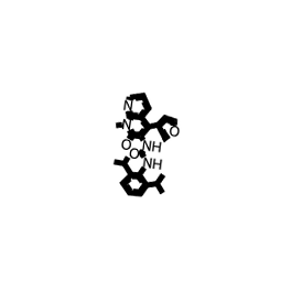 CC(C)c1cccc(C(C)C)c1NC(=O)Nc1c(-c2ccoc2)c2cccnc2n(C)c1=O